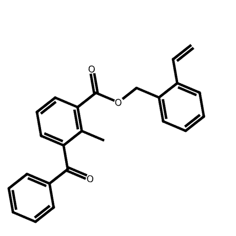 C=Cc1ccccc1COC(=O)c1cccc(C(=O)c2ccccc2)c1C